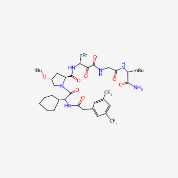 CCCCC(NC(=O)CNC(=O)C(=O)C(CCC)NC(=O)[C@@H]1C[C@@H](OC(C)(C)C)CN1C(=O)C(NC(=O)Cc1cc(C(F)(F)F)cc(C(F)(F)F)c1)C1CCCCC1)C(N)=O